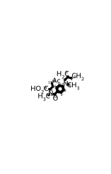 C=CC(=C)CN(C)c1ccc(C(=O)N(C)C(CCC(C)=O)C(=O)O)cc1